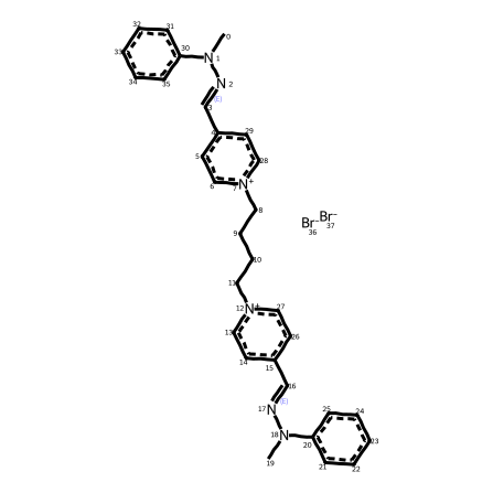 CN(/N=C/c1cc[n+](CCCC[n+]2ccc(/C=N/N(C)c3ccccc3)cc2)cc1)c1ccccc1.[Br-].[Br-]